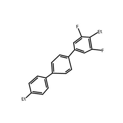 CCc1ccc(-c2ccc(-c3cc(F)c(CC)c(F)c3)cc2)cc1